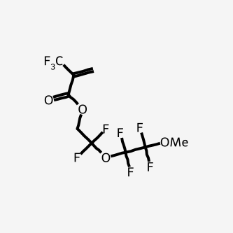 C=C(C(=O)OCC(F)(F)OC(F)(F)C(F)(F)OC)C(F)(F)F